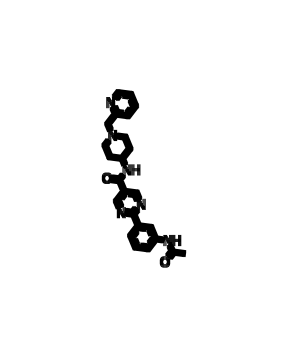 CC(=O)Nc1cccc(-c2ncc(C(=O)NC3CCN(Cc4ccccn4)CC3)cn2)c1